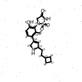 O=C1CN(c2c(O)ccc(C3=CC(CCC4CCC4)NC3)c2F)S(=O)(=O)N1